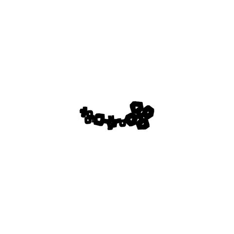 CC(C)(C)OC(=O)N1CCC(c2nc(COc3ccc(C(c4ccccc4)(c4ccccc4)c4ccccc4)cc3)cs2)CC1